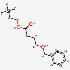 C[Si](C)(C)CCOC(=O)CCCOCc1ccccc1